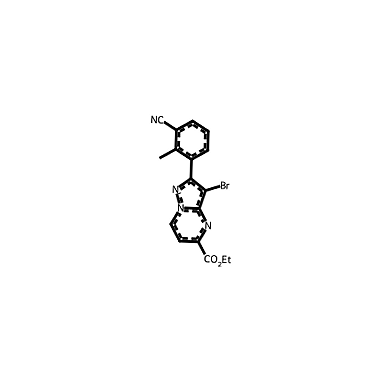 CCOC(=O)c1ccn2nc(-c3cccc(C#N)c3C)c(Br)c2n1